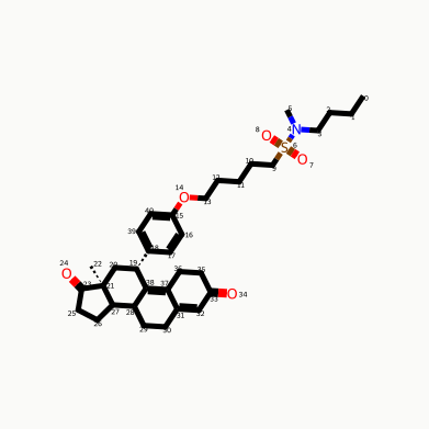 CCCCN(C)S(=O)(=O)CCCCCOc1ccc([C@H]2C[C@]3(C)C(=O)CCC3C3CCC4=CC(=O)CCC4=C32)cc1